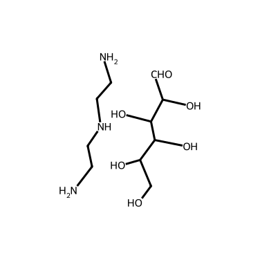 NCCNCCN.O=CC(O)C(O)C(O)C(O)CO